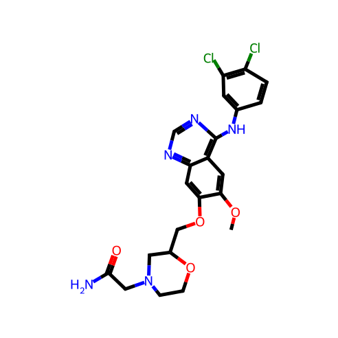 COc1cc2c(Nc3ccc(Cl)c(Cl)c3)ncnc2cc1OCC1CN(CC(N)=O)CCO1